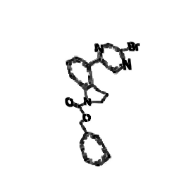 O=C(OCc1ccccc1)N1CCc2c(-c3cnc(Br)cn3)cccc21